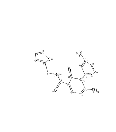 Cc1ccc(C(=O)NCc2cccs2)c(=O)n1-c1cccc(C(F)(F)F)c1